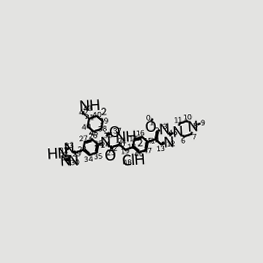 COc1nc(N2CCN(C)CC2)ncc1-c1ccc(C[C@H](N)C(=O)N(c2ccc(-c3nn[nH]n3)cc2)C(=O)[C@H]2CC[C@H](CN)CC2)cc1.Cl